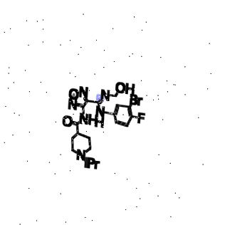 CC(C)N1CCC(C(=O)Nc2nonc2/C(=N/CO)Nc2ccc(F)c(Br)c2)CC1